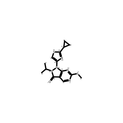 CSc1ncc2c(=O)n(C(C)C)n(-c3csc(C4CC4)n3)c2n1